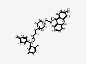 Cc1ccccc1C(OCCCN1CCN(CCOC(c2ccc(F)cc2)c2ccccc2C)CC1)c1ccc(F)cc1